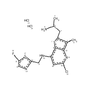 Cc1c(CC(C)N)sc2c(NCc3ncc(F)s3)cc(Cl)nc12.Cl.Cl